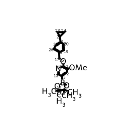 COc1cc(B2OC(C)(C)C(C)(C)O2)cnc1OCc1ccc(C2CC2)cc1